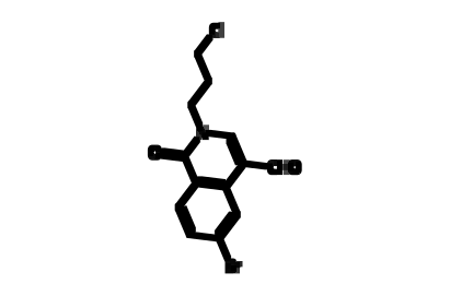 O=Cc1cn(CCCCl)c(=O)c2ccc(Br)cc12